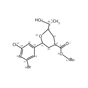 C[C@@H](O)C1CN(C(=O)OC(C)(C)C)CC(c2cc(Cl)nc(Br)c2)O1